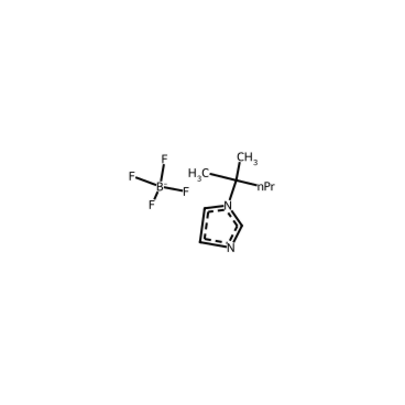 CCCC(C)(C)n1ccnc1.F[B-](F)(F)F